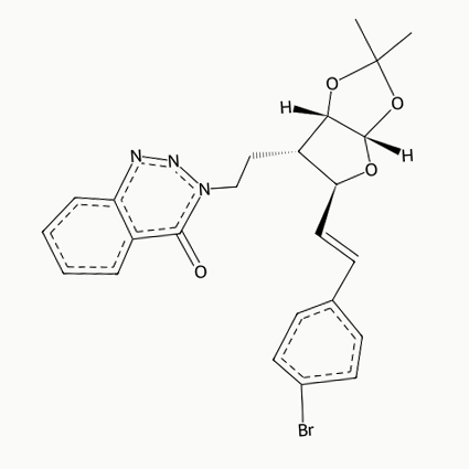 CC1(C)O[C@@H]2O[C@@H](C=Cc3ccc(Br)cc3)[C@H](CCn3nnc4ccccc4c3=O)[C@@H]2O1